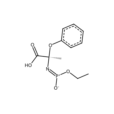 CCO[P+]([O-])=N[C@](C)(Oc1ccccc1)C(=O)O